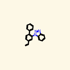 C=Cc1ccc(-c2ccccc2)c(-n2nnc3ccccc32)c1